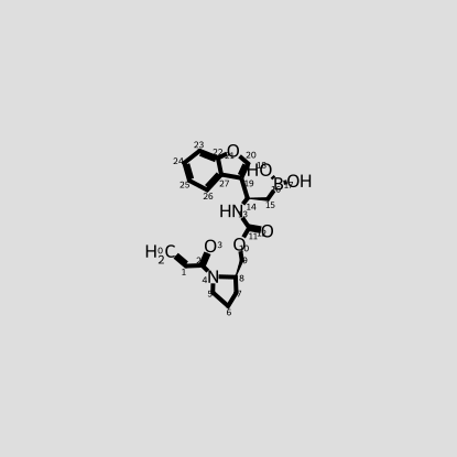 C=CC(=O)N1CCC[C@@H]1COC(=O)N[C@H](CB(O)O)c1coc2ccccc12